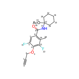 C#CCOc1c(F)cc(C(=O)NC2(OC(C)=O)CCCCC2)c(C)c1F